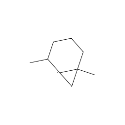 CC1CCCC2(C)C[C]12